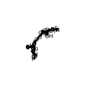 Cc1ncsc1-c1ccc([C@H](C)NC(=O)[C@@H]2C[C@@H](O)CN2C(=O)C(NC(=O)CCOCCOCCN2CCC(CNC(=O)c3cccc(-c4noc(C(F)(F)F)n4)c3)(c3nc(-c4ccccc4)cs3)CC2)C(C)(C)C)cc1